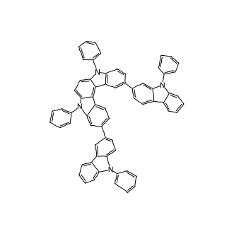 c1ccc(-n2c3ccccc3c3cc(-c4ccc5c6c7c8cc(-c9ccc%10c%11ccccc%11n(-c%11ccccc%11)c%10c9)ccc8n(-c8ccccc8)c7ccc6n(-c6ccccc6)c5c4)ccc32)cc1